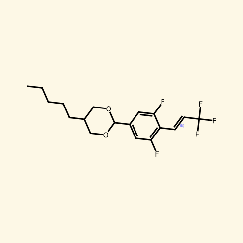 CCCCCC1COC(c2cc(F)c(/C=C/C(F)(F)F)c(F)c2)OC1